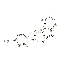 Cc1ccc(-c2cnc3oc4ccccc4c3c2)nc1